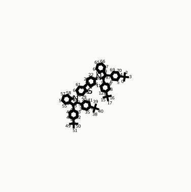 CC(C)(C)c1ccc(-c2c(-c3ccc(C(C)(C)C)cc3)n(-c3ccc4c(c3)sc3cc(-n5c(-c6ccc(C(C)(C)C)cc6)c(-c6ccc(C(C)(C)C)cc6)c6ccccc65)ccc34)c3ccccc23)cc1